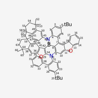 CC(C)(C)c1ccc2c(c1)-c1c3c(cc4oc5ccccc5c14)N(c1ccc(C(C)(C)C)cc1-c1ccccc1)c1oc4cc5c(cc4c1B3N2c1ccc2c(c1)C(C)(C)CCC2(C)C)C(C)(C)CCC5(C)C